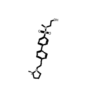 C[C@@H]1CCCN1CCc1ccc(-c2ccc(S(=O)(=O)N(C)CCO)cc2)cc1